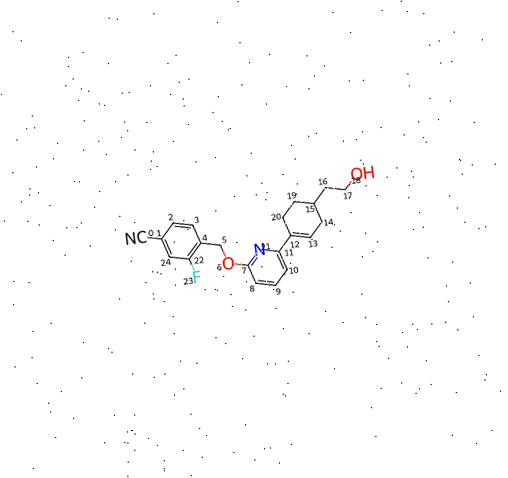 N#Cc1ccc(COc2cccc(C3=CCC(CCO)CC3)n2)c(F)c1